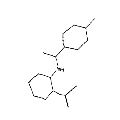 CC1CCC(C(C)NC2CCCCC2C(C)C)CC1